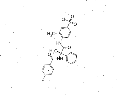 Cc1cc(S(=O)(=O)Cl)ccc1NC(=O)[C@@](C)(NC(=O)c1ccc(F)cc1)c1ccccc1